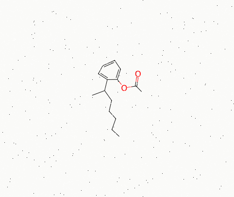 CCCCCC(C)c1ccccc1OC(C)=O